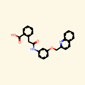 O=C(Cc1ccccc1C(=O)O)Nc1cccc(OCc2ccc3ccccc3n2)c1